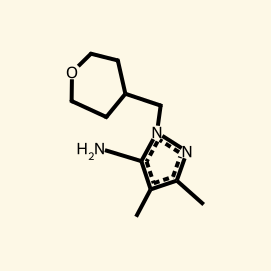 Cc1nn(CC2CCOCC2)c(N)c1C